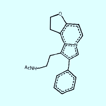 CC(=O)NCCc1c(-c2ccccc2)cn2ccc3c(c12)CCO3